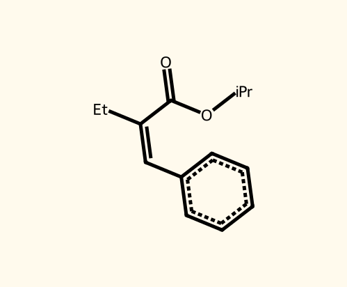 CCC(=Cc1ccccc1)C(=O)OC(C)C